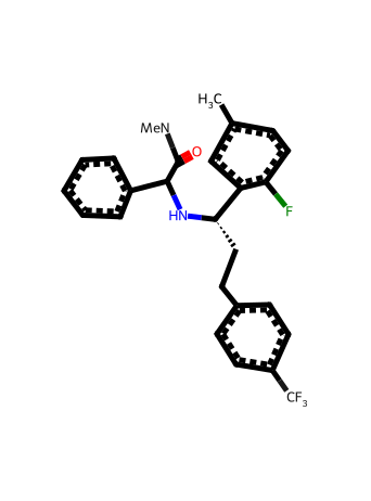 CNC(=O)C(N[C@@H](CCc1ccc(C(F)(F)F)cc1)c1cc(C)ccc1F)c1ccccc1